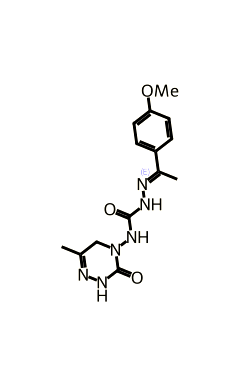 COc1ccc(/C(C)=N/NC(=O)NN2CC(C)=NNC2=O)cc1